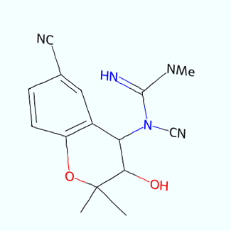 CNC(=N)N(C#N)C1c2cc(C#N)ccc2OC(C)(C)C1O